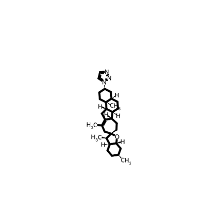 CC1=C2C[C@H]3[C@@H](CC[C@@H]4C[C@@H](n5ccnn5)CC[C@@]43C)[C@@H]2CC[C@@]2(C1)O[C@@H]1C[C@H](C)CC[C@H]1[C@H]2C